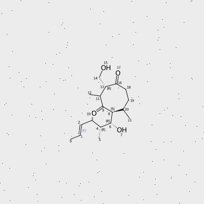 C/C=C/C[C@@H](C)[C@@H](O)[C@H]1C(=O)C(C)[C@H](CO)C(=O)CCC1C